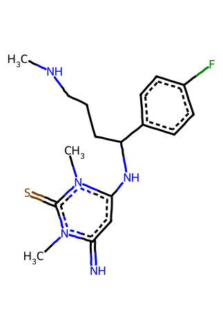 CNCCCC(Nc1cc(=N)n(C)c(=S)n1C)c1ccc(F)cc1